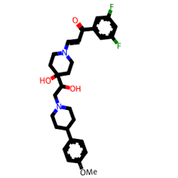 COc1ccc(C2CCN(CC(O)C3(O)CCN(C=CC(=O)c4cc(F)cc(F)c4)CC3)CC2)cc1